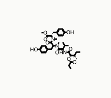 CCC(=O)O[C@H](C(=O)N[C@@H](C(=O)N(C)C(Cc1ccc(O)cc1)C(=O)N(C)[C@@H](Cc1ccc(O)cc1)C(=O)OC)C(C)C)[C@@H](C)CC